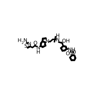 CC(C)(CCn1ccc2cc(NC(=O)Cc3csc(N)n3)ccc21)NC[C@@H](O)c1cccc(NS(=O)(=O)c2ccccc2)c1